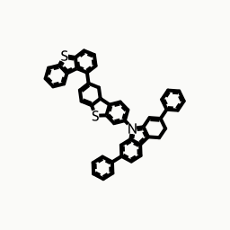 C1=C(c2ccccc2)CCc2c1n(-c1ccc3c(c1)SC1=CC=C(c4cccc5sc6ccccc6c45)CC13)c1cc(-c3ccccc3)ccc21